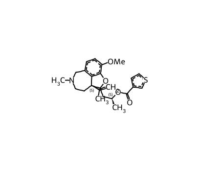 C=C(C)[C@@]12CCN(C)Cc3ccc(OC)c(c31)OC2C[C@H](C)OC(=O)c1ccsc1